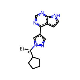 CC[C@H](C1CCCC1)n1cc(-c2ncnc3[nH]ccc23)cn1